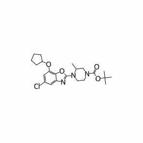 CC1CN(C(=O)OC(C)(C)C)CCN1c1nc2cc(Cl)cc(OC3CCCC3)c2o1